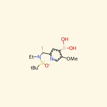 CCN([C@H](C)c1cc(B(O)O)c(OC)cn1)[S+]([O-])C(C)(C)C